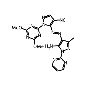 [C-]#[N+]c1cnn(-c2nc(OC)nc(OC)n2)c1/N=N/c1c(C)nn(-c2ncccn2)c1N